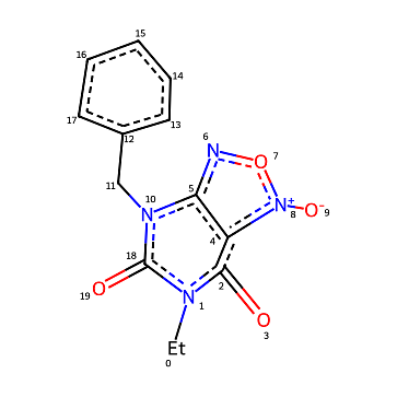 CCn1c(=O)c2c(no[n+]2[O-])n(Cc2ccccc2)c1=O